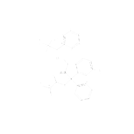 CCC(=O)C(CC(C)N(C)C)(c1ccccc1)c1ccccc1.C[N+](C)(C)Cc1ccccc1.[Cl-]